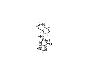 O=c1[nH]c(Nc2cccc3ncccc23)nc2[nH]cnc12